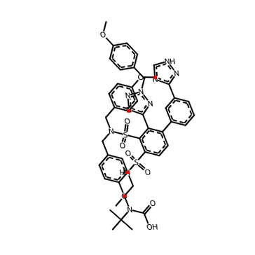 COc1ccc(CN(Cc2ccc(OC)cc2)S(=O)(=O)c2c(S(=O)(=O)NCCN(C(=O)O)C(C)(C)C)ccc(-c3cccc(-c4nc[nH]n4)c3)c2-c2nnn(Cc3ccc(OC)cc3)n2)cc1